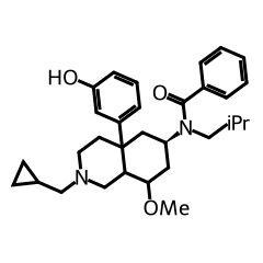 COC1C[C@H](N(CC(C)C)C(=O)c2ccccc2)CC2(c3cccc(O)c3)CCN(CC3CC3)CC12